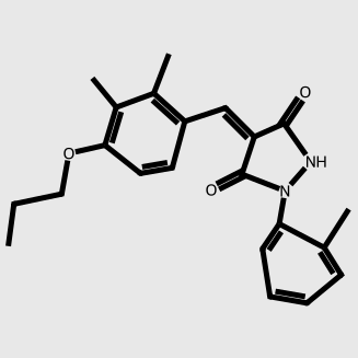 CCCOc1ccc(/C=C2/C(=O)NN(c3ccccc3C)C2=O)c(C)c1C